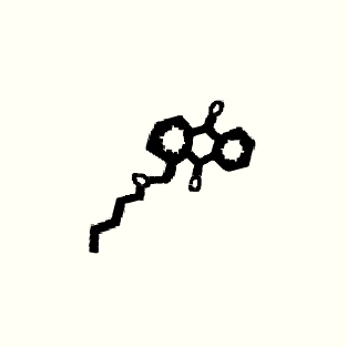 CCCCCOCc1cccc2c1C(=O)c1ccccc1C2=O